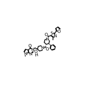 Cc1nc(-c2ccco2)sc1C(=O)N1CC[C@@H](C(=O)N2CCC(O)(Cn3cnc4c(ccn4C)c3=O)CC2)[C@H](c2ccccc2)C1